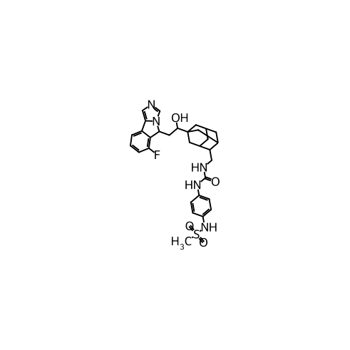 CS(=O)(=O)Nc1ccc(NC(=O)NCC2C3CC4CC2CC(C(O)CC2c5c(F)cccc5-c5cncn52)(C4)C3)cc1